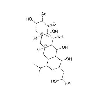 CCCC(O)CC1CC(N(C)C)C2C[C@H]3C[C@H]4CC(O)C(C(C)=O)C(=O)[C@@]4(O)C(O)C3C(O)C2C1O